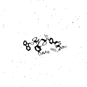 COc1ccc(N(CC(=O)Nc2ccc(-c3csc(NC(=O)O)n3)cc2)C(=O)OCC2c3ccccc3-c3ccccc32)cc1